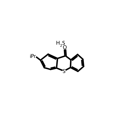 CC(C)c1ccc2sc3ccccc3c(=O)c2c1.S